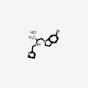 C[C@@H](CN1CCc2ccc(Br)cc21)NCc1cccs1.Cl